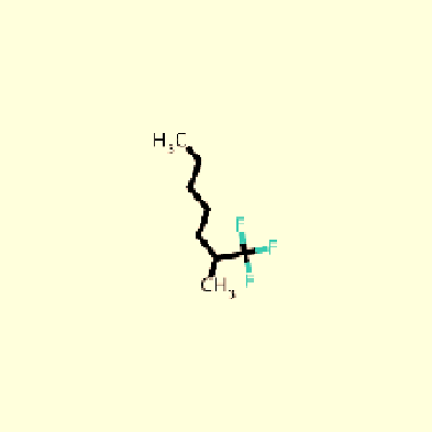 CCCCCC(C)C(F)(F)F